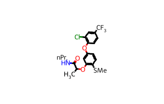 CCCNC(=O)C(C)Oc1cc(Oc2ccc(C(F)(F)F)cc2Cl)ccc1SC